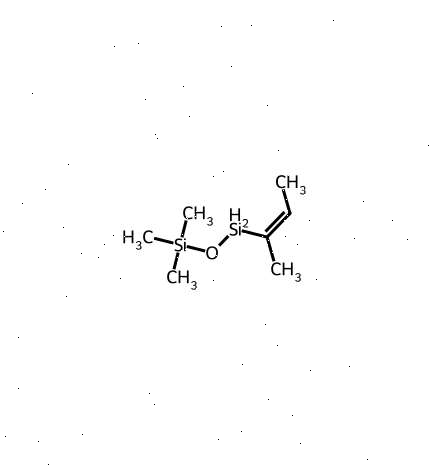 CC=C(C)[SiH2]O[Si](C)(C)C